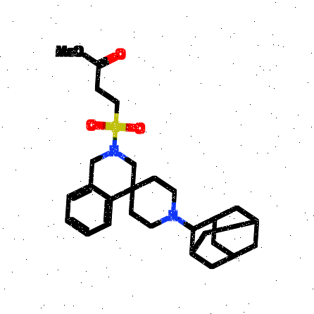 COC(=O)CCS(=O)(=O)N1Cc2ccccc2C2(CCN(C3C4CC5CC(C4)CC3C5)CC2)C1